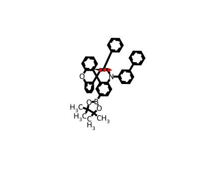 CC1(C)OB(c2ccc3c(c2)C2(c4ccccc4Oc4ccccc42)c2ccc(-c4ccccc4)cc2N3c2cccc(-c3ccccc3)c2)OC1(C)C